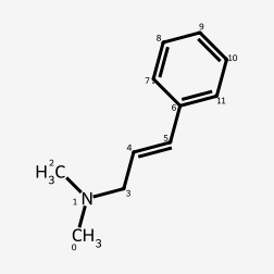 CN(C)C/C=C/c1[c]cccc1